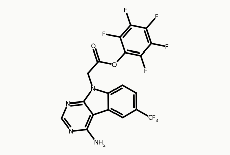 Nc1ncnc2c1c1cc(C(F)(F)F)ccc1n2CC(=O)Oc1c(F)c(F)c(F)c(F)c1F